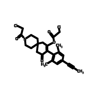 CC#Cc1cc(C)c(C2=C(OC(=O)CCl)CC3(CCN(C(=O)CCl)CC3)CC2=O)c(C)c1